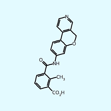 Cc1c(C(=O)O)cccc1C(=O)Nc1ccc2c(c1)OCc1cnccc1-2